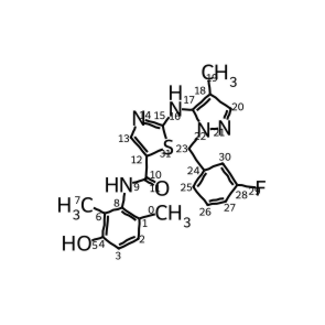 Cc1ccc(O)c(C)c1NC(=O)c1cnc(Nc2c(C)cnn2Cc2cccc(F)c2)s1